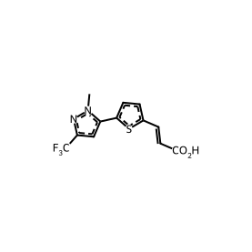 Cn1nc(C(F)(F)F)cc1-c1ccc(C=CC(=O)O)s1